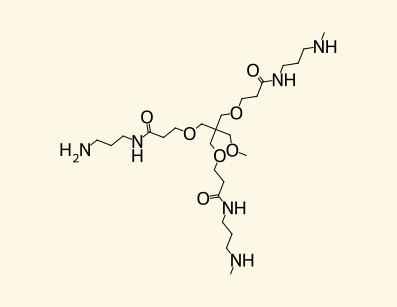 CNCCCNC(=O)CCOCC(COC)(COCCC(=O)NCCCN)COCCC(=O)NCCCNC